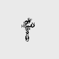 CN1CCCC(c2cc(Nc3cc(C(F)(F)F)ccn3)nc(N3CC(N4CCOCC4)C3)n2)C1